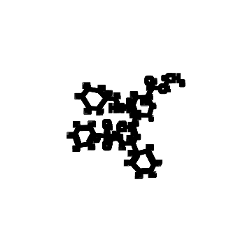 COC(=O)[C@H]1CCN(CCC(CN(C)S(=O)(=O)c2ccccc2)c2ccccc2)[C@@H](NCC2CCCCC2)C1